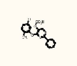 Cc1ccc(Cl)cc1Oc1nc(-c2ccccc2)ncc1OC(=O)O